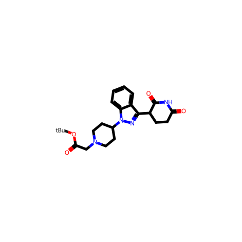 CC(C)(C)OC(=O)CN1CCC(n2nc(C3CCC(=O)NC3=O)c3ccccc32)CC1